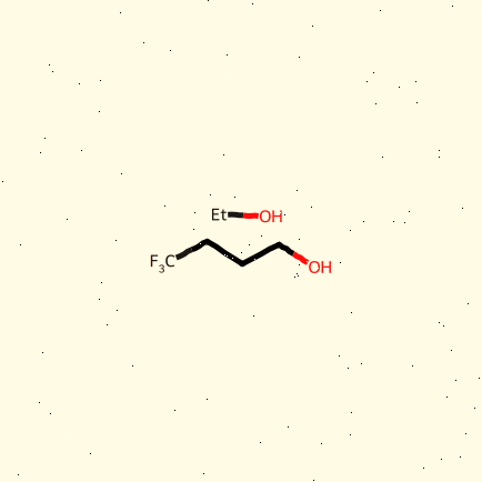 CCO.OCCCC(F)(F)F